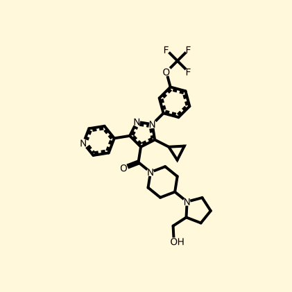 O=C(c1c(-c2ccncc2)nn(-c2cccc(OC(F)(F)F)c2)c1C1CC1)N1CCC(N2CCCC2CO)CC1